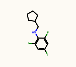 Fc1cc(F)c(NCC2CCCC2)c(F)c1